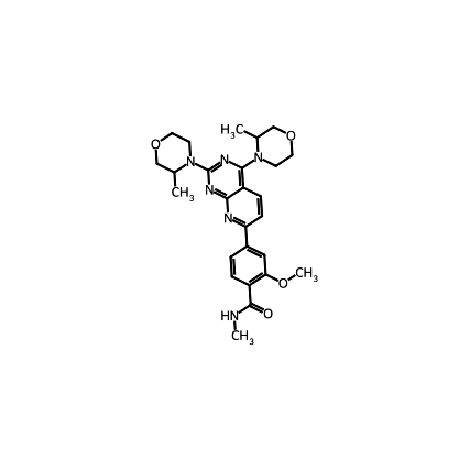 CNC(=O)c1ccc(-c2ccc3c(N4CCOCC4C)nc(N4CCOCC4C)nc3n2)cc1OC